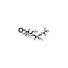 CCNC(=O)OCCN(C)C(=O)CC[C@@H](CO)NC(=O)[C@H](CC1CCCCC1)NC(=O)O